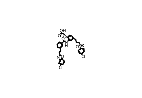 O=C(O)COc1ccc(CCCS(=O)(=O)c2ccc(Cl)cc2)cc1NC(=O)c1cccc(C=Cc2nc3cc(Cl)ccc3o2)c1